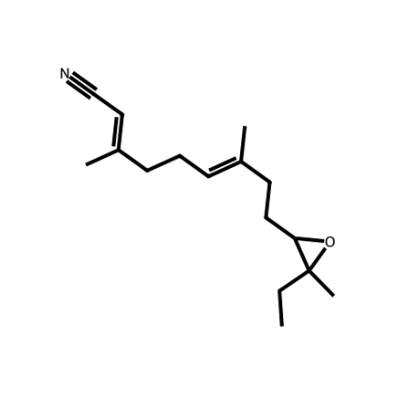 CCC1(C)OC1CCC(C)=CCCC(C)=CC#N